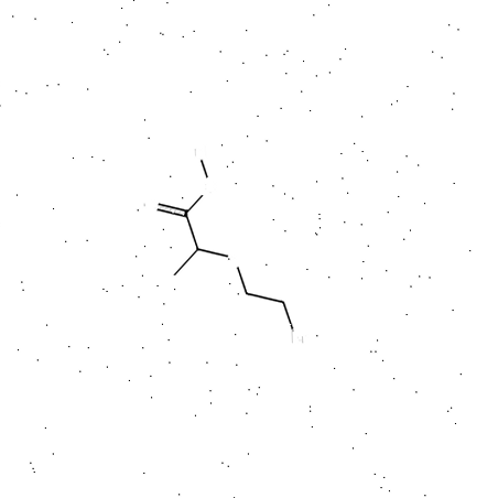 CCCOC(=O)C(C)SCCBr